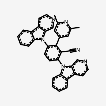 Cc1cc(-c2c(-n3c4ccccc4c4ccncc43)ccc(-n3c4ccccc4c4ccncc43)c2C#N)cc(C)n1